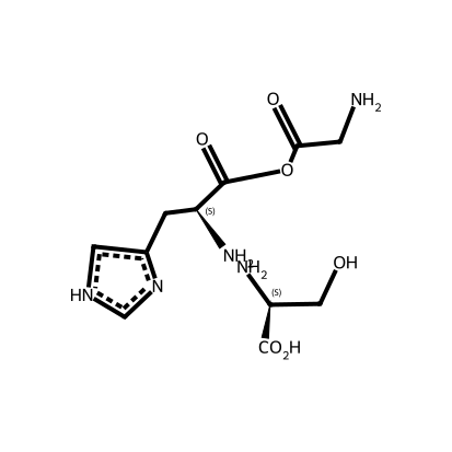 NCC(=O)OC(=O)[C@@H](N)Cc1c[nH]cn1.N[C@@H](CO)C(=O)O